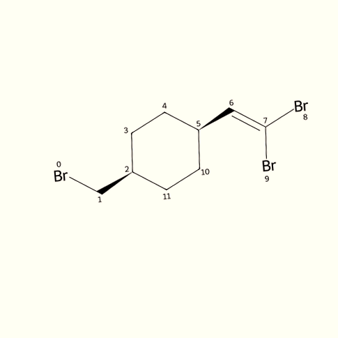 BrC[C@H]1CC[C@@H](C=C(Br)Br)CC1